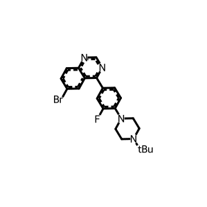 CC(C)(C)N1CCN(c2ccc(-c3ncnc4ccc(Br)cc34)cc2F)CC1